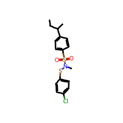 CCC(C)c1ccc(S(=O)(=O)N(C)Sc2ccc(Cl)cc2)cc1